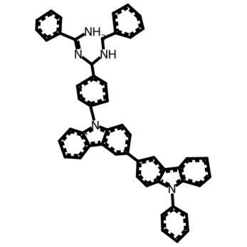 N/C(=N\C(NCc1ccccc1)c1ccc(-n2c3ccccc3c3cc(-c4ccc5c(c4)c4ccccc4n5-c4ccccc4)ccc32)cc1)c1ccccc1